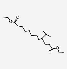 CCOC(=O)CCCCCCCC(CCC(=O)OCC)C(C)C